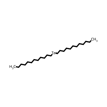 CCCCCCCCCCCC[Te+]CCCCCCCCCCCC